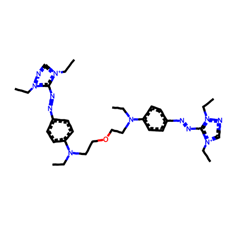 CCN(CCOCCN(CC)c1ccc(N=Nc2n(CC)nc[n+]2CC)cc1)c1ccc(N=Nc2n(CC)nc[n+]2CC)cc1